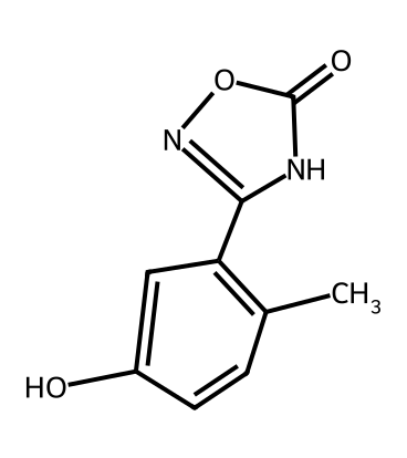 Cc1ccc(O)cc1-c1noc(=O)[nH]1